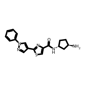 N[C@@H]1CC[C@@H](NC(=O)c2csc(-c3cnn(-c4ccccc4)c3)n2)C1